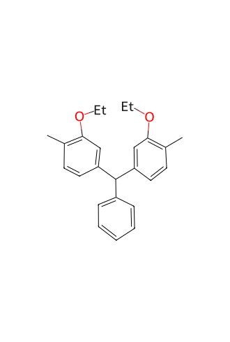 CCOc1cc(C(c2ccccc2)c2ccc(C)c(OCC)c2)ccc1C